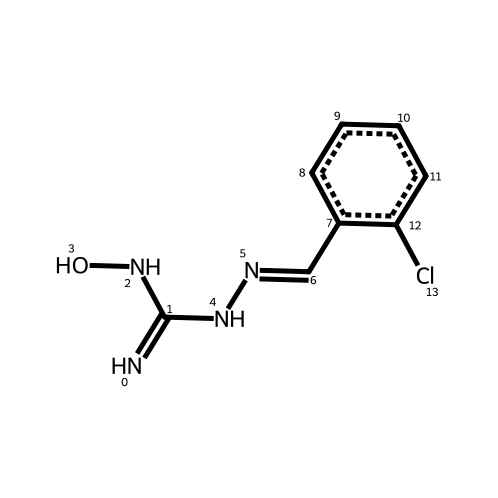 N=C(NO)N/N=C/c1ccccc1Cl